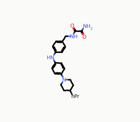 CCCC1CCN(c2ccc(Nc3ccc(CNC(=O)C(N)=O)cc3)cc2)CC1